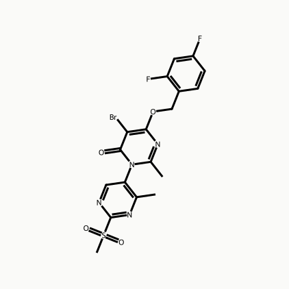 Cc1nc(S(C)(=O)=O)ncc1-n1c(C)nc(OCc2ccc(F)cc2F)c(Br)c1=O